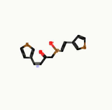 O=C(/C=C\c1ccsc1)C[S+]([O-])C=Cc1ccsc1